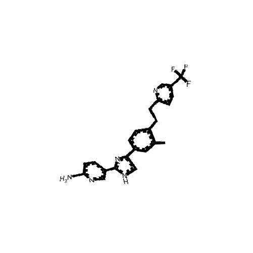 Cc1cc(-c2c[nH]c(-c3ccc(N)nc3)n2)ccc1CCc1ccc(C(F)(F)F)cn1